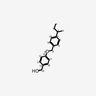 CCC(C)c1ccc(COc2ccc(CO)cc2)cc1